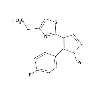 CC(C)n1ncc(-c2nc(CC(=O)O)cs2)c1-c1ccc(F)cc1